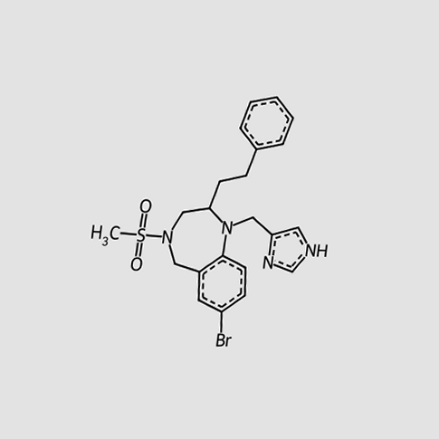 CS(=O)(=O)N1Cc2cc(Br)ccc2N(Cc2c[nH]cn2)C(CCc2ccccc2)C1